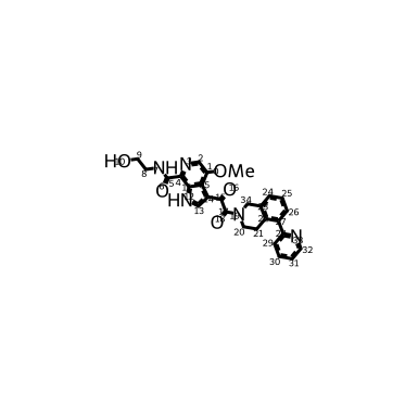 COc1cnc(C(=O)NCCO)c2[nH]cc(C(=O)C(=O)N3CCc4c(cccc4-c4ccccn4)C3)c12